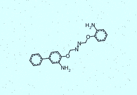 Nc1ccccc1OCN=NCOc1ccc(-c2ccccc2)cc1N